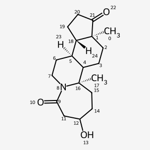 C[C@]12CCC3[C@@H](CCN4C(=O)CC(O)CC[C@]34C)[C@@H]1CCC2=O